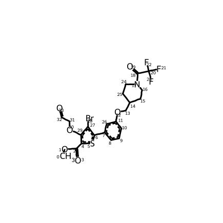 COC(=O)c1sc(-c2cccc(OCC3CCN(C(=O)C(F)(F)F)CC3)c2)c(Br)c1OCC=O